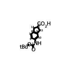 CC(C)(C)OC(=O)Nc1ccc2c(c1)CC(C(=O)O)C2